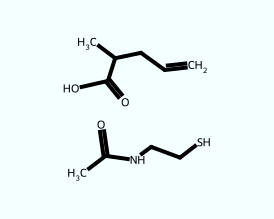 C=CCC(C)C(=O)O.CC(=O)NCCS